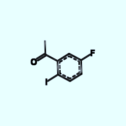 CC(=O)c1cc(F)ccc1I